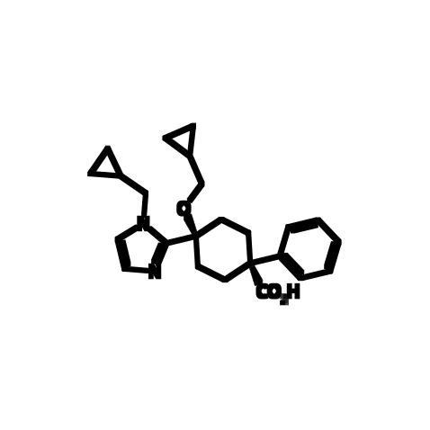 O=C(O)[C@]1(c2ccccc2)CC[C@@](OCC2CC2)(c2nccn2CC2CC2)CC1